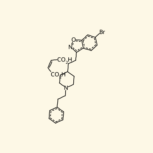 Brc1ccc2c(CCC3CCN(CCc4ccccc4)CC3)noc2c1.O=C(O)/C=C\C(=O)O